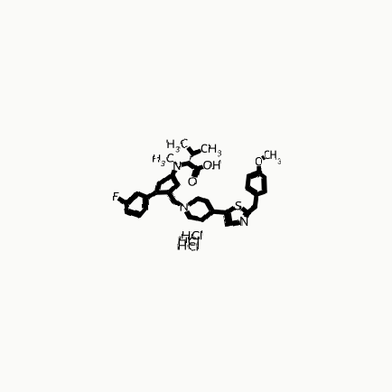 COc1ccc(Cc2ncc(C3CCN(CC4CC(N(C)[C@@H](C(=O)O)C(C)C)CC4c4cccc(F)c4)CC3)s2)cc1.Cl.Cl.Cl